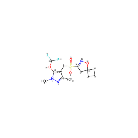 Cn1nc(C(F)(F)F)c(CS(=O)(=O)C2=NOC3(CCC3)C2)c1OC(F)F